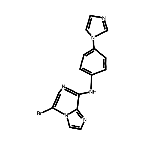 Brc1cnc(Nc2ccc(-n3ccnc3)cc2)c2nccn12